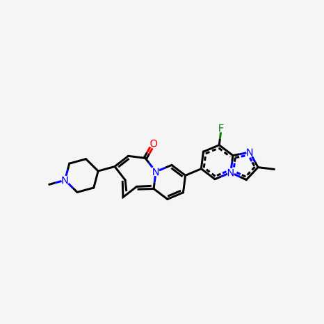 Cc1cn2cc(C3=CN4C(=O)\C=C(C5CCN(C)CC5)/C=C/C=C/4C=C3)cc(F)c2n1